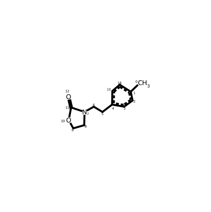 Cc1ccc(CCN2CCOC2=O)cc1